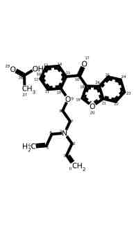 C=CCN(CC=C)CCOc1ccccc1C(=O)c1coc2ccccc12.CC(=O)O